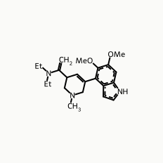 C=C(C1C=C(c2c(OC)c(OC)cc3[nH]ccc23)CN(C)C1)N(CC)CC